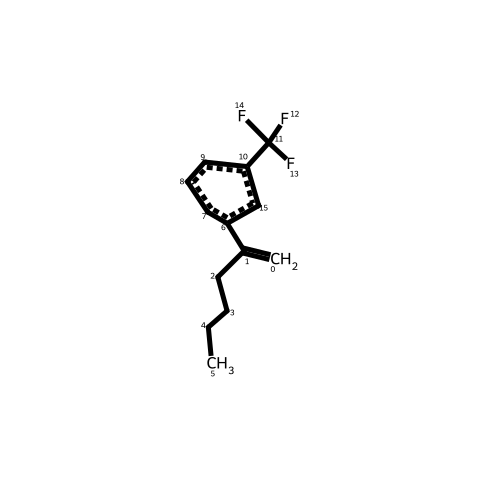 C=C(CCCC)c1cccc(C(F)(F)F)c1